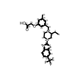 CCC1CN(c2nc3ccc(C(F)(F)F)cc3s2)CCN1Cc1cc(C)cc(OCC(=O)O)c1